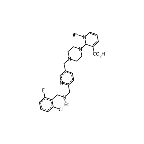 CCN(Cc1ccc(CN2CCN(C3C(C(=O)O)=CC=CN3C(C)C)CC2)cn1)Cc1c(F)cccc1Cl